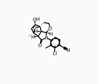 Cc1c(N2C(=O)[C@H]3[C@H]4[C@@H]2OCC[C@@]42O[C@]3(C)C[C@H]2O)ccc(C#N)c1Cl